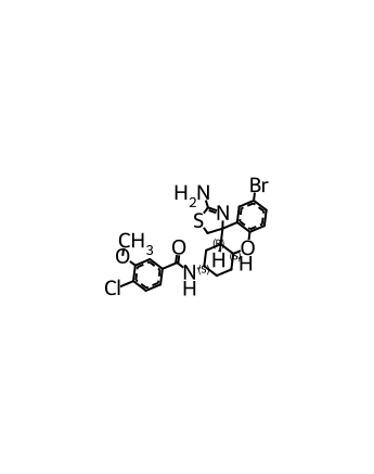 COc1cc(C(=O)N[C@H]2CC[C@@H]3Oc4ccc(Br)cc4C4(CSC(N)=N4)[C@H]3C2)ccc1Cl